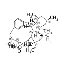 C=C[C@@]1(C)C=C(C)[C@@H]2[C@H]3C1C(=O)[C@]14O[C@H]1[C@](O)(Cc1ccc(cc1)O[C@@H]3[C@@H]1[C@@H](C)C[C@@H](C)C[C@]12C)NC4=O